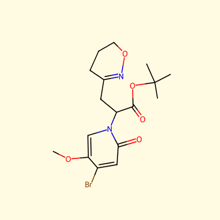 COc1cn(C(CC2=NOCCC2)C(=O)OC(C)(C)C)c(=O)cc1Br